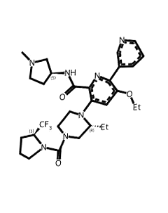 CCOc1cc(N2CCN(C(=O)N3CCC[C@H]3C(F)(F)F)C[C@H]2CC)c(C(=O)N[C@H]2CCN(C)C2)nc1-c1cccnc1